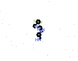 N=Cc1cccc(-n2cnc3ccc(N4CCC[C@H]4c4cc(F)ccc4F)nc32)c1